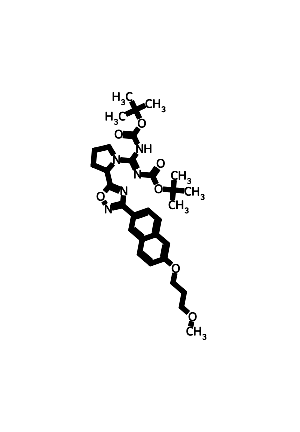 COCCCOc1ccc2cc(-c3noc(C4CCCN4C(=NC(=O)OC(C)(C)C)NC(=O)OC(C)(C)C)n3)ccc2c1